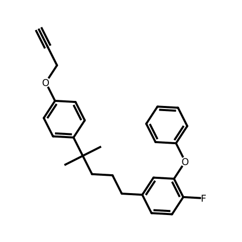 C#CCOc1ccc(C(C)(C)CCCc2ccc(F)c(Oc3ccccc3)c2)cc1